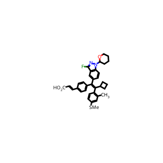 CSc1ccc(/C(=C(\c2ccc(/C=C/C(=O)O)cc2)c2ccc3c(c2)c(F)nn3C2CCCCO2)C2CCC2)c(C)c1